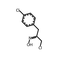 ON=C(CCl)Cc1ccc(Cl)cc1